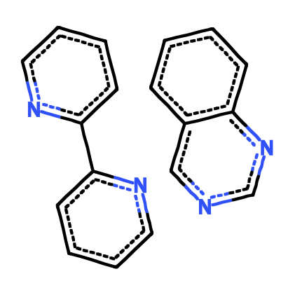 c1ccc(-c2ccccn2)nc1.c1ccc2ncncc2c1